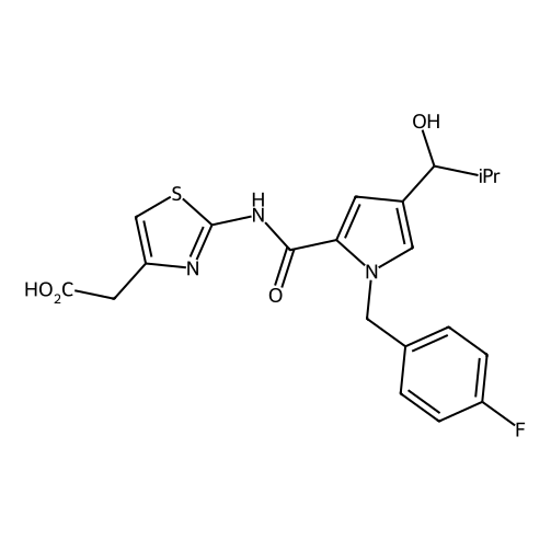 CC(C)C(O)c1cc(C(=O)Nc2nc(CC(=O)O)cs2)n(Cc2ccc(F)cc2)c1